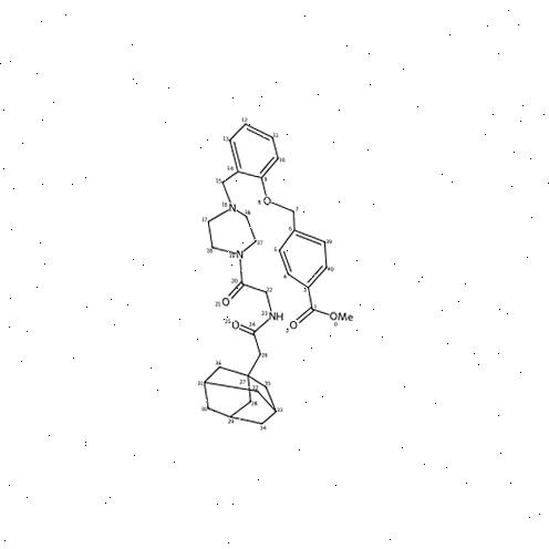 COC(=O)c1ccc(COc2ccccc2CN2CCN(C(=O)CNC(=O)CC34CC5CC(CC(C5)C3)C4)CC2)cc1